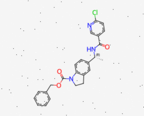 C[C@@H](NC(=O)c1ccc(Cl)nc1)c1ccc2c(c1)CCN2C(=O)OCc1ccccc1